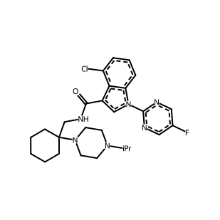 CC(C)N1CCN(C2(CNC(=O)c3cn(-c4ncc(F)cn4)c4cccc(Cl)c34)CCCCC2)CC1